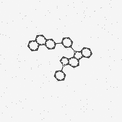 c1ccc(-n2ccc3c2ccc2c4ccccc4n(-c4cccc(-c5ccc6c(ccc7ccccc76)c5)c4)c23)cc1